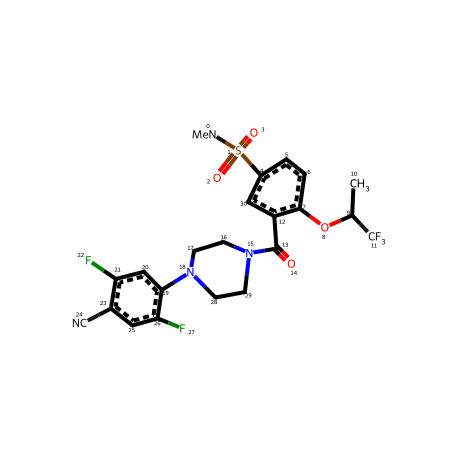 CNS(=O)(=O)c1ccc(OC(C)C(F)(F)F)c(C(=O)N2CCN(c3cc(F)c(C#N)cc3F)CC2)c1